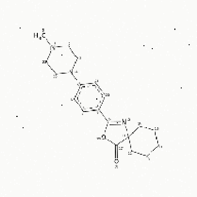 CN1CCN(c2ccc(C3=NC4(CCCCC4)C(=O)O3)cc2)CC1